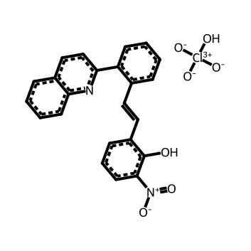 O=[N+]([O-])c1cccc(/C=C/c2ccccc2-c2ccc3ccccc3n2)c1O.[O-][Cl+3]([O-])([O-])O